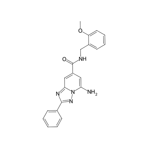 COc1ccccc1CNC(=O)c1cc(N)n2nc(-c3ccccc3)nc2c1